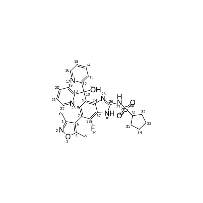 Cc1noc(C)c1-c1cc(C(O)(c2ccccn2)c2ccccn2)c2nc(NS(=O)(=O)C3CCCC3)[nH]c2c1F